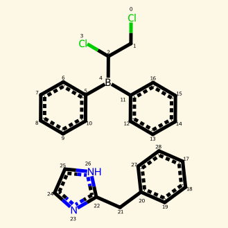 ClCC(Cl)B(c1ccccc1)c1ccccc1.c1ccc(Cc2ncc[nH]2)cc1